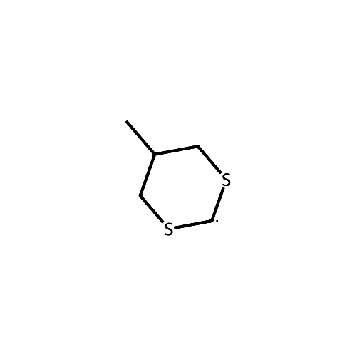 CC1CS[CH]SC1